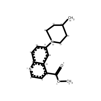 COC(=O)c1ccnc2ccc(N3CCC(C)CC3)cc12